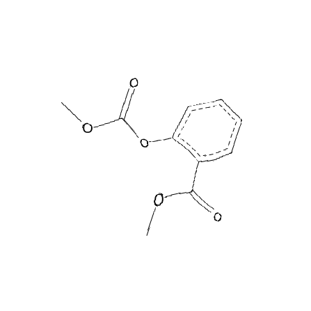 COC(=O)Oc1ccccc1C(=O)OC